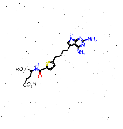 Nc1nc(N)c2c(CCCCc3ccc(C(=O)N[C@@H](CCC(=O)O)C(=O)O)s3)c[nH]c2n1